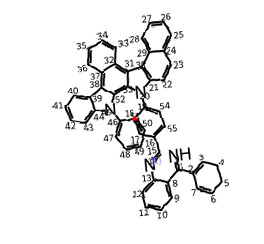 N=C(C1=CCCC=C1)c1ccccc1/N=C/c1ccc(-n2c3ccc4ccccc4c3c3c4ccccc4c4c5ccccc5n(-c5ccccc5)c4c32)cc1